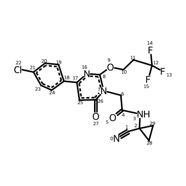 N#CC1(NC(=O)Cn2c(OCCC(F)(F)F)nc(-c3ccc(Cl)cc3)cc2=O)CC1